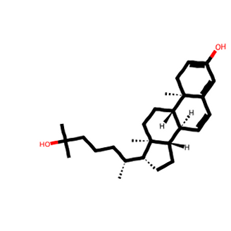 C[C@H](CCCC(C)(C)O)[C@H]1CC[C@H]2[C@@H]3C=CC4=CC(O)=CC[C@]4(C)[C@H]3CC[C@]12C